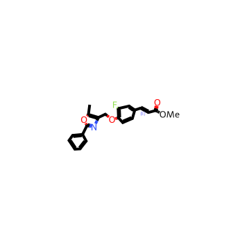 COC(=O)/C=C/c1ccc(OCc2nc(-c3ccccc3)oc2C)c(F)c1